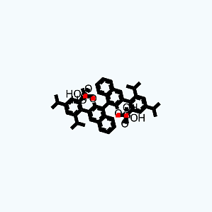 CC(C)c1cc(C(C)C)c(-c2cc3ccccc3c(-c3c(OP(=O)(O)O)c(-c4c(C(C)C)cc(C(C)C)cc4C(C)C)cc4ccccc34)c2OP(=O)(O)O)c(C(C)C)c1